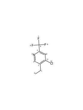 CCc1cnc(C(F)(F)F)cc1Cl